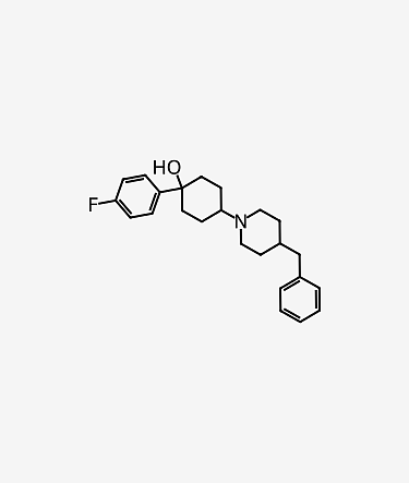 OC1(c2ccc(F)cc2)CCC(N2CCC(Cc3ccccc3)CC2)CC1